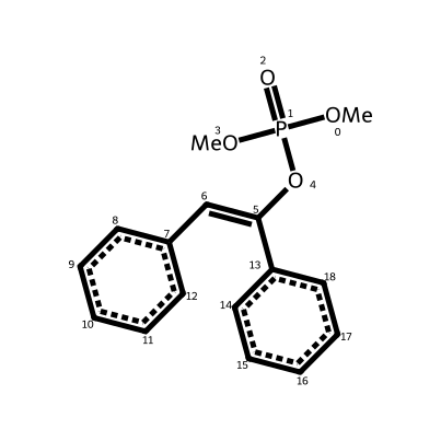 COP(=O)(OC)O/C(=C/c1ccccc1)c1ccccc1